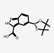 CC1(C)OB(c2ccc3n[nH]c(C(=O)O)c3c2)OC1(C)C